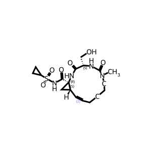 CN1CCCC/C=C\[C@@H]2C[C@@]2(C(=O)NS(=O)(=O)C2CC2)NC(=O)[C@H](CO)NC1=O